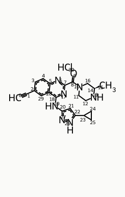 C#Cc1ccc2nc(C(=O)N3CCN[C@H](C)C3)nc(Nc3cc(C4CC4)[nH]n3)c2c1.Cl